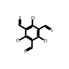 S=Cc1c(Cl)c(C=S)c(Cl)c(C=S)c1Cl